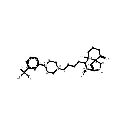 O=C1CCC[N+]2([O-])C(CCCCN3CCN(c4cccc(C(F)(F)F)c4)CC3)[N+](=O)C3=CC12CS3